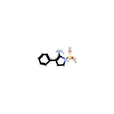 NC1=C(c2ccccc2)CCN1[SH](=O)=O